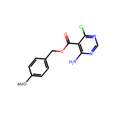 COc1ccc(COC(=O)c2c(N)ncnc2Cl)cc1